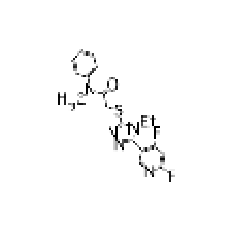 CCn1c(SCC(=O)N(C)c2ccccc2)nnc1-c1cnc(F)cc1F